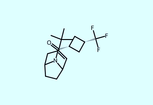 CC(C)(C)C1=CC2CCC(C1)N2C(=O)[C@H]1C[C@@H](C(F)(F)F)C1